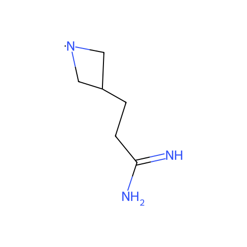 N=C(N)CCC1C[N]C1